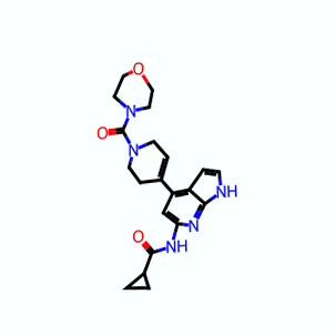 O=C(Nc1cc(C2=CCN(C(=O)N3CCOCC3)CC2)c2cc[nH]c2n1)C1CC1